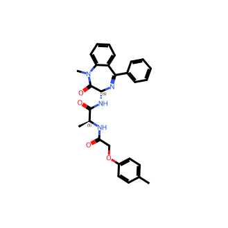 Cc1ccc(OCC(=O)N[C@@H](C)C(=O)N[C@H]2N=C(c3ccccc3)c3ccccc3N(C)C2=O)cc1